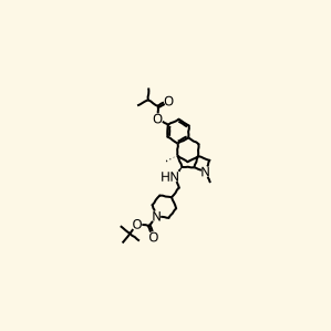 CC(C)C(=O)Oc1ccc2c(c1)[C@@]1(C)CC3(C2)CN(C)C3[C@H]1NCC1CCN(C(=O)OC(C)(C)C)CC1